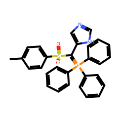 Cc1ccc(S(=O)(=O)C(c2cnc[nH]2)=P(c2ccccc2)(c2ccccc2)c2ccccc2)cc1